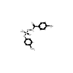 Cc1ccc(OP(=O)(O)OOC(=O)c2ccc(C(C)(C)C)cc2)cc1